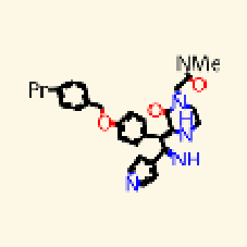 CNC(=O)CN1CCN/C(=C(\C(=N)c2ccncc2)c2ccc(OCc3ccc(C(C)C)cc3)cc2)C1=O